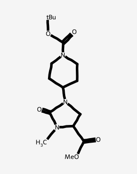 COC(=O)C1CN(C2CCN(C(=O)OC(C)(C)C)CC2)C(=O)N1C